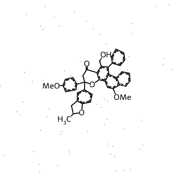 COc1ccc(C2(c3ccc4c(c3)CC(C)O4)CC(=O)c3c(CO)c(-c4ccccc4)c4c(cc(OC)c5ccccc54)c3O2)cc1